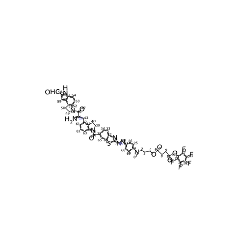 CN(CCCOC(=O)CCC(=O)Oc1c(F)c(F)c(F)c(F)c1F)c1ccc(/N=N/c2nc3ccc(C(=O)N4CCc5c(/C=C(\N)C(=O)N6CCc7c6ccc6[nH]c(C=O)cc76)cccc54)cc3s2)cc1